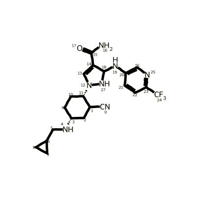 N#CC1C[C@H](NCC2CC2)CC[C@@H]1N1C=C(C(N)=O)C(Nc2ccc(C(F)(F)F)nc2)N1